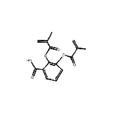 C=C(C)C(=O)Oc1cccc(C(=O)O)c1OC(=O)C(=C)C